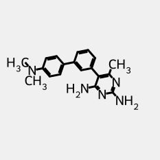 Cc1nc(N)nc(N)c1-c1cccc(-c2ccc(N(C)C)cc2)c1